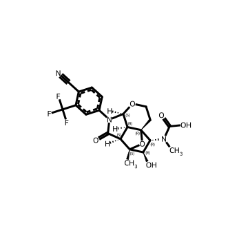 CN(C(=O)O)[C@@H]1[C@@H](O)[C@@]2(C)O[C@@]13CCO[C@H]1[C@@H]3[C@@H]2C(=O)N1c1ccc(C#N)c(C(F)(F)F)c1